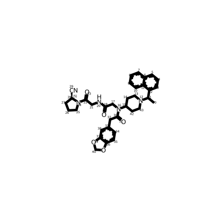 CC(c1cccc2ccccc12)N1CCC(N(CC(=O)NCC(=O)N2CCC[C@H]2C#N)C(=O)Cc2ccc3c(c2)OCO3)CC1